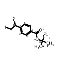 CC(CI)c1ccc(C(=O)OC(C)(C)C)cc1